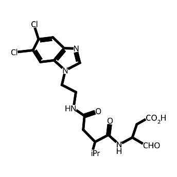 CC(C)C(CC(=O)NCCn1cnc2cc(Cl)c(Cl)cc21)C(=O)NC(C=O)CC(=O)O